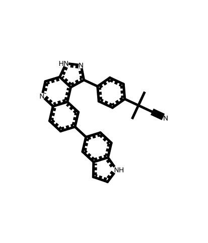 CC(C)(C#N)c1ccc(-c2n[nH]c3cnc4ccc(-c5ccc6[nH]ccc6c5)cc4c23)cc1